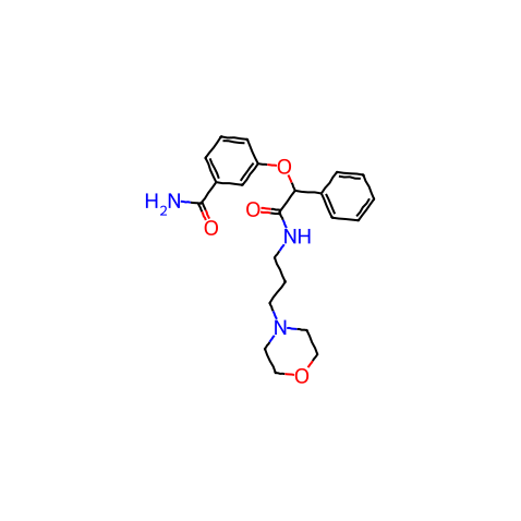 NC(=O)c1cccc(OC(C(=O)NCCCN2CCOCC2)c2ccccc2)c1